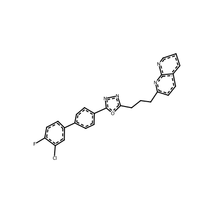 Fc1ccc(-c2ccc(-c3nnc(CCCc4ccc5cccnc5n4)o3)cc2)cc1Cl